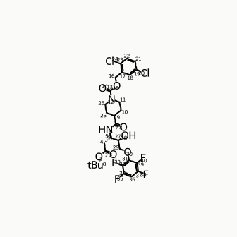 CC(C)(C)OC(=O)C[C@H](NC(=O)C1CCN(C(=O)OCc2cc(Cl)ccc2Cl)CC1)C(O)COc1c(F)c(F)cc(F)c1F